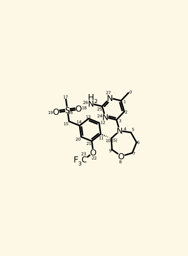 Cc1cc(N2CCCOC[C@@H]2c2ccc(CS(C)(=O)=O)cc2OC(F)(F)F)nc(N)n1